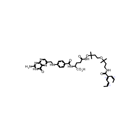 C\C=C/C=C(\C=C/C)C(=O)NCCC(C)(C)OCCC(C)(C)OBC(=O)CCC(NC(=O)c1ccc(NCc2cnc3nc(N)[nH]c(=O)c3n2)cc1)C(=O)O